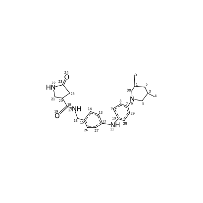 CC1CC(C)CN(c2ccc(Nc3ccc(CNC(=O)C4CNC(=O)C4)cc3)cc2)C1